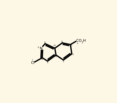 O=C(O)c1ccc2cc(Cl)ncc2c1